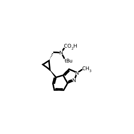 Cn1cc2c([C@H]3C[C@@H]3CN(C(=O)O)C(C)(C)C)cccc2n1